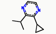 CC(C)c1nccnc1C1CC1